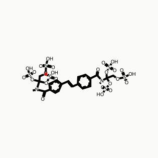 CN(C(=O)c1ccc(C=Cc2ccc(C(=O)N(C)C(COS(=O)(=O)O)(OS(=O)(=O)O)OS(=O)(=O)O)cc2)cc1)C(COS(=O)(=O)O)(OS(=O)(=O)O)OS(=O)(=O)O